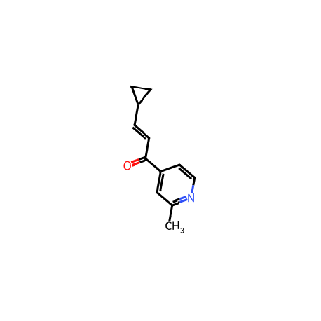 Cc1cc(C(=O)C=CC2CC2)ccn1